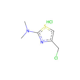 CN(C)c1nc(CCl)cs1.Cl